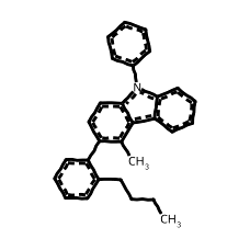 CCCCc1ccccc1-c1ccc2c(c1C)c1ccccc1n2-c1ccccc1